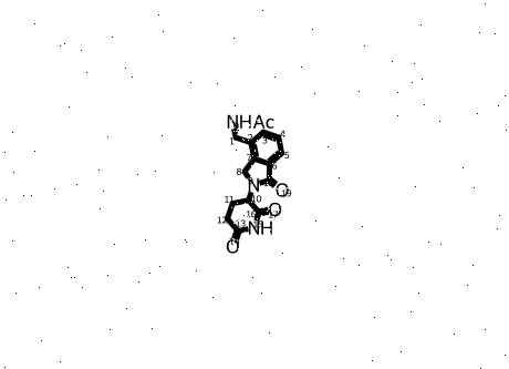 CC(=O)NCc1cccc2c1CN(C1CCC(=O)NC1=O)C2=O